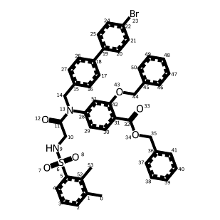 Cc1cccc(S(=O)(=O)NCC(=O)N(Cc2ccc(-c3ccc(Br)cc3)cc2)c2ccc(C(=O)OCc3ccccc3)c(OCc3ccccc3)c2)c1C